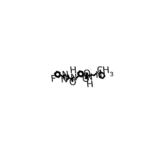 CC1CCCCN1CCCNS(=O)(=O)c1cccc(CNC(=O)c2cnc(-c3cccc(F)c3)nc2)c1